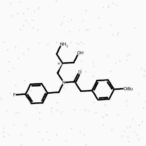 CC(C)COc1ccc(CC(=O)N(Cc2ccc(F)cc2)C[C@@H](CN)CO)cc1